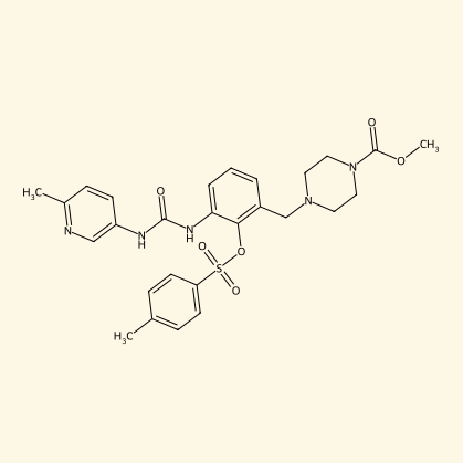 COC(=O)N1CCN(Cc2cccc(NC(=O)Nc3ccc(C)nc3)c2OS(=O)(=O)c2ccc(C)cc2)CC1